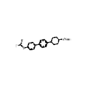 CCCCCCCCCC1CCC(c2ccc(-c3ccc(SC(F)F)cc3)cc2)CC1